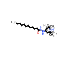 CCCCCCCCCCCC(=O)NNC1CC(C)(C)NC(C)(C)C1